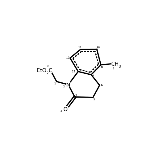 CCOC(=O)CN1C(=O)CCc2c(C)cccc21